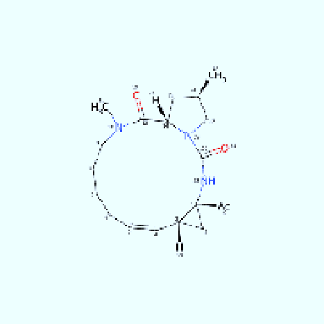 CC(=O)[C@@]12C[C@@H]1/C=C\CCCCN(C)C(=O)[C@@H]1C[C@@H](C)CN1C(=O)N2